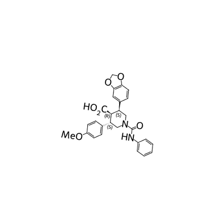 COc1ccc([C@H]2CN(C(=O)Nc3ccccc3)C[C@H](c3ccc4c(c3)OCO4)[C@@H]2C(=O)O)cc1